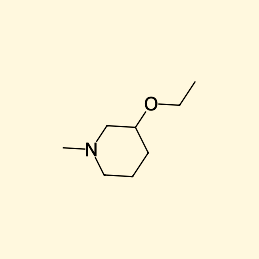 CCOC1CCCN(C)C1